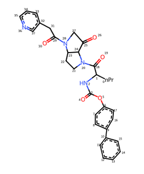 CCCC(NC(=O)Oc1ccc(-c2ccccc2)cc1)C(=O)N1CCC2C1C(=O)CN2C(=O)Cc1cccnc1